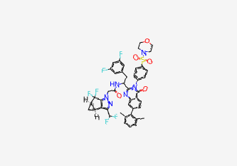 Cc1cccc(C)c1-c1ccc2c(=O)n(-c3ccc(S(=O)(=O)N4CCOCC4)cc3)c(C(Cc3cc(F)cc(F)c3)NC(=O)Cn3nc(C(F)F)c4c3C(F)(F)[C@@H]3C[C@H]43)nc2c1